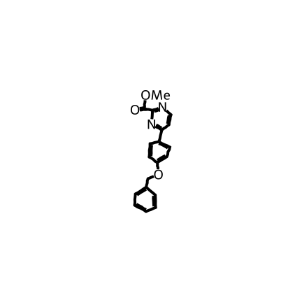 COC(=O)c1nccc(-c2ccc(OCc3ccccc3)cc2)n1